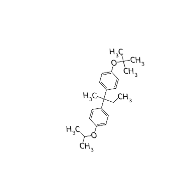 CCC(C)(c1ccc(OC(C)C)cc1)c1ccc(OC(C)(C)C)cc1